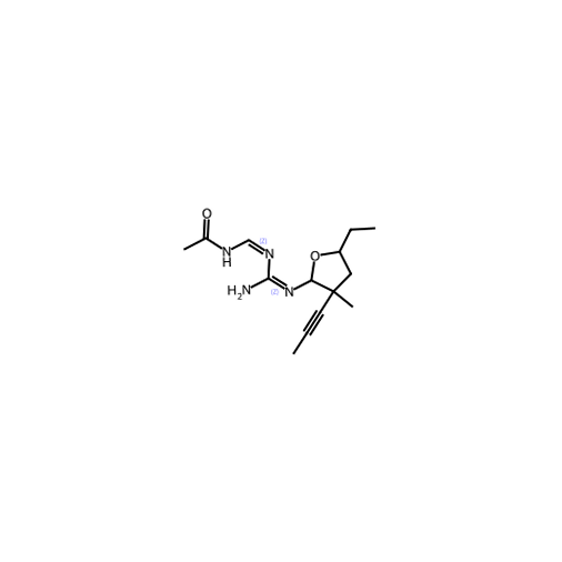 CC#CC1(C)CC(CC)OC1/N=C(N)\N=C/NC(C)=O